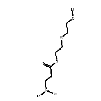 CCOCCOCCOC(=O)CCN(CC)CC